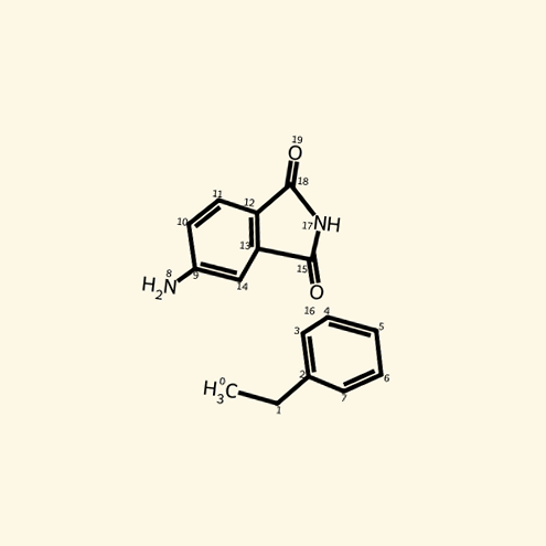 CCc1ccccc1.Nc1ccc2c(c1)C(=O)NC2=O